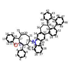 CCC1/C(c2ccccc2)=C2/Oc3ccccc3C2C(C)CCC1n1c2ccccc2c2cc3c(cc21)CCC1c2ccccc2-c2ccccc2-c2cccc-3c21